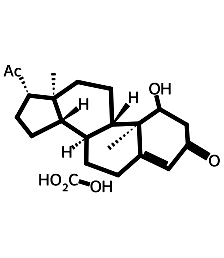 CC(=O)[C@H]1CC[C@H]2[C@@H]3CCC4=CC(=O)CC(O)[C@]4(C)[C@H]3CC[C@]12C.O=C(O)O